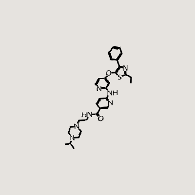 CCc1nc(-c2ccccc2)c(Oc2ccnc(Nc3ccc(C(=O)NCCN4CCN(C(C)C)CC4)cn3)c2)s1